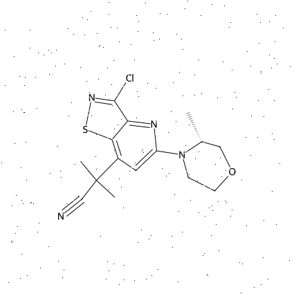 C[C@@H]1COCCN1c1cc(C(C)(C)C#N)c2snc(Cl)c2n1